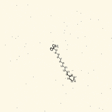 O=C(O)CCCCCCCCCCC=Cc1ccccc1